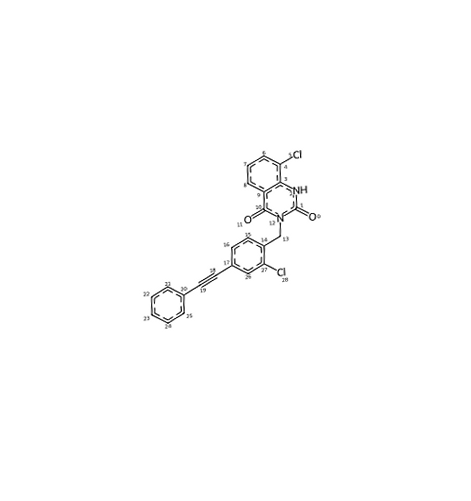 O=c1[nH]c2c(Cl)cccc2c(=O)n1Cc1ccc(C#Cc2ccccc2)cc1Cl